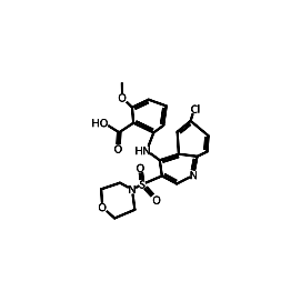 COc1cccc(Nc2c(S(=O)(=O)N3CCOCC3)cnc3ccc(Cl)cc23)c1C(=O)O